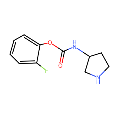 O=C(NC1CCNC1)Oc1ccccc1F